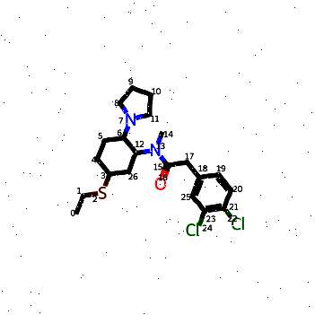 CCSC1CCC(N2CCCC2)C(N(C)C(=O)Cc2ccc(Cl)c(Cl)c2)C1